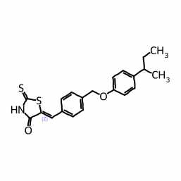 CCC(C)c1ccc(OCc2ccc(/C=C3\SC(=S)NC3=O)cc2)cc1